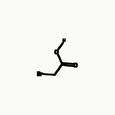 O=C(CBr)OF